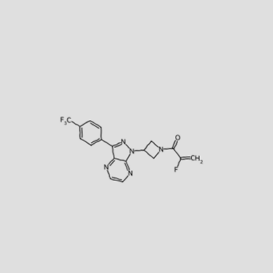 C=C(F)C(=O)N1CC(n2nc(-c3ccc(C(F)(F)F)cc3)c3nccnc32)C1